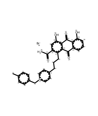 Cc1ccc(C[n+]2ccc(CCCc3c(C(N)=O)cc(O)c4c3C(=O)c3cccc(O)c3C4=O)cc2)cc1.[Br-]